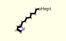 CCCCCCCCCCCCCCC1=CC=C[N]1